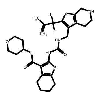 C=C(C)C(F)(F)c1sc2c(c1CNC(=O)Nc1sc3c(c1C(=O)OC1CCOCC1)CCCC3)CCNC2